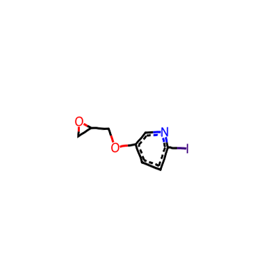 Ic1ccc(OCC2CO2)cn1